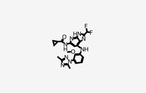 COc1c(Nc2cc(NC(=O)C3CC3)nc3[nH]c(C(F)F)nc23)cccc1-n1nc(C)nc1C